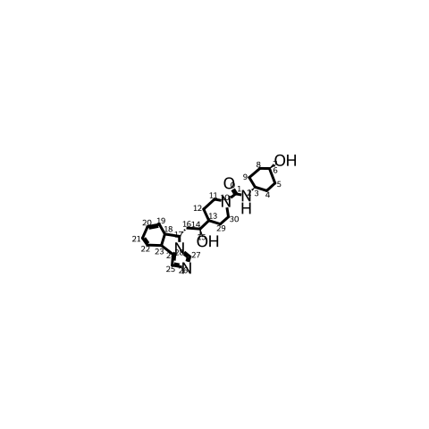 O=C(N[C@H]1CC[C@H](O)CC1)N1CCC([C@@H](O)C[C@H]2C3C=CC=CC3c3cncn32)CC1